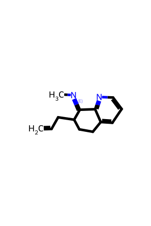 C=CCC1CCc2cccnc2/C1=N/C